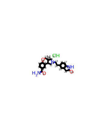 Cl.NC(=O)c1ccc2c(c1)C1CN(CCc3ccc4c(c3)CC(=O)N4)C[C@H]1CO2